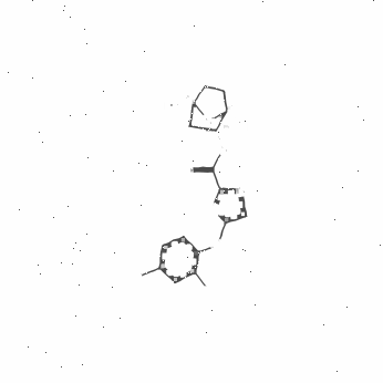 O=C(N[C@@H]1C[C@H]2CC[C@@H]1N2)c1ncc(Oc2ccc(F)cc2F)o1